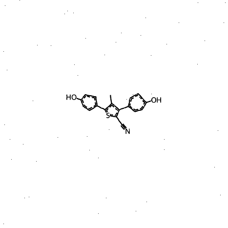 Cc1c(-c2ccc(O)cc2)sc(C#N)c1-c1ccc(O)cc1